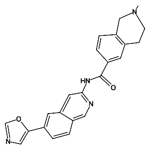 CN1CCc2cc(C(=O)Nc3cc4cc(-c5cnco5)ccc4cn3)ccc2C1